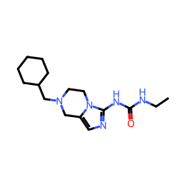 CCNC(=O)Nc1ncc2n1CCN(CC1CCCCC1)C2